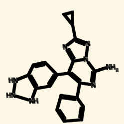 Nc1nc(-c2ccccc2)c(-c2ccc3c(c2)NNN3)c2nc(C3CC3)nn12